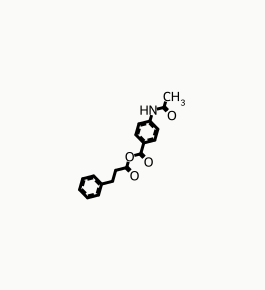 CC(=O)Nc1ccc(C(=O)OC(=O)CCc2ccccc2)cc1